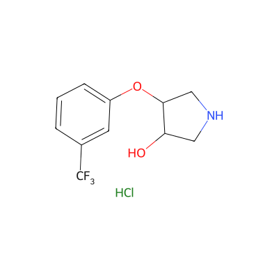 Cl.OC1CNCC1Oc1cccc(C(F)(F)F)c1